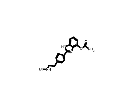 CCNCCc1ccc(-c2nc3c(OC(N)=O)cccc3[nH]2)cc1